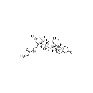 C=CC(=O)NCCN1C[C@@H](C)C[C@H]2O[C@]3(CC[C@@H]4C(=C(C)C3)C[C@H]3[C@H]4CCC4=CC(=O)CC[C@@]43C)[C@H](C)[C@@H]21